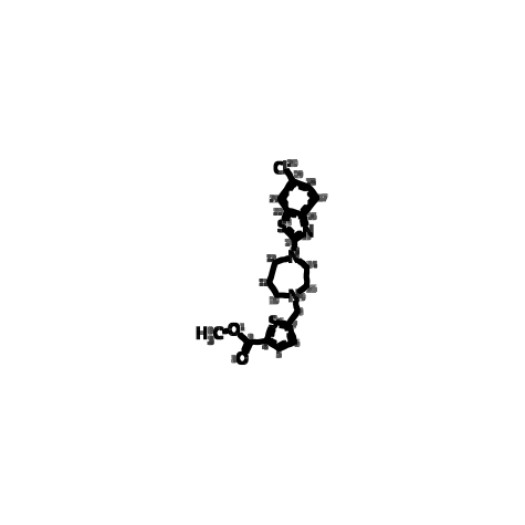 COC(=O)c1ccc(CN2CCCN(c3nc4ccc(Cl)cc4s3)CC2)s1